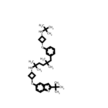 CC(C)(CCC(C)(C)N[C@H]1C[C@H](Oc2ccc3oc(C(C)(C)C)cc3c2)C1)Cc1cccc(O[C@H]2C[C@@H](NC(C)(C)C)C2)c1